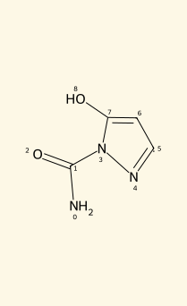 NC(=O)n1n[c]cc1O